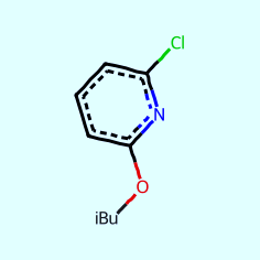 CCC(C)Oc1cccc(Cl)n1